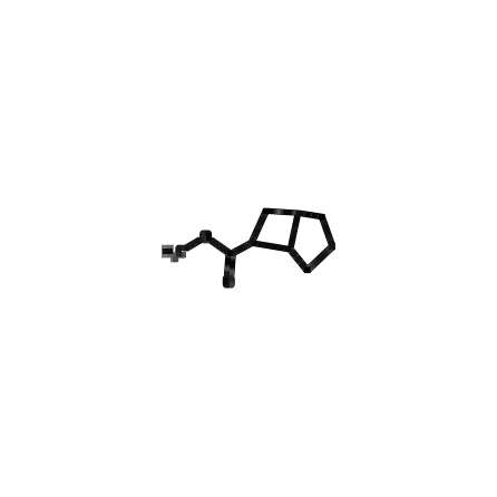 COC(=O)C1CC2CCCC21